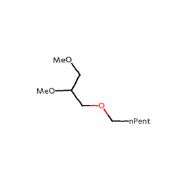 CCCCCCOCC(COC)OC